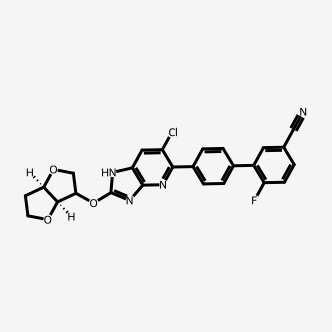 N#Cc1ccc(F)c(-c2ccc(-c3nc4nc(OC5CO[C@@H]6CCO[C@H]56)[nH]c4cc3Cl)cc2)c1